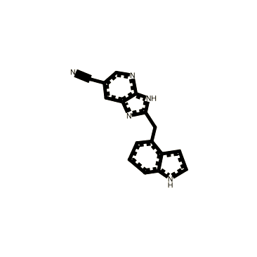 N#Cc1cnc2[nH]c(Cc3cccc4[nH]ccc34)nc2c1